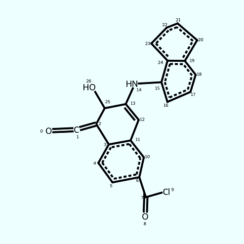 O=C=C1c2ccc(C(=O)Cl)cc2C=C(Nc2cccc3ccccc23)C1O